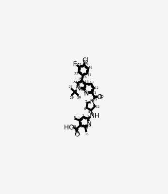 Cc1cc(N[C@H]2CCN(C(=O)c3ccc4c(-c5ccc(Cl)c(F)c5)cn(C(C)(C)C)c4n3)C2)nc(C)c1C(=O)O